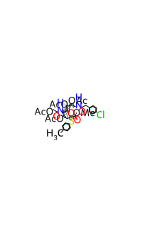 COC(=O)[C@@]1(Sc2ccc(C)cc2)C[C@H](OC(C)=O)[C@@H](NC(=O)COC(C)=O)[C@H]([C@H](OC(C)=O)[C@@H](CNC(=O)Cc2ccc(Cl)cc2)OC(C)=O)O1